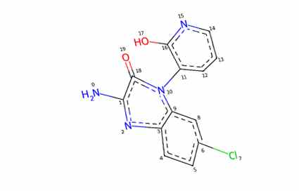 Nc1nc2ccc(Cl)cc2n(-c2cccnc2O)c1=O